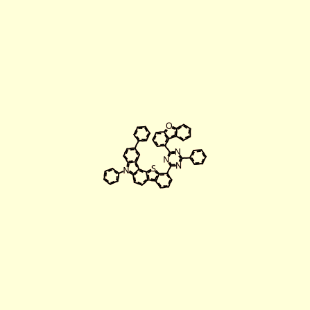 c1ccc(-c2ccc3c(c2)c2c4sc5c(-c6nc(-c7ccccc7)nc(-c7cccc8oc9ccccc9c78)n6)cccc5c4ccc2n3-c2ccccc2)cc1